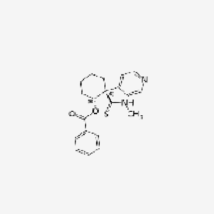 CNC(=S)[C@]1(c2ccncc2)CCCC[C@H]1OC(=O)c1ccccc1